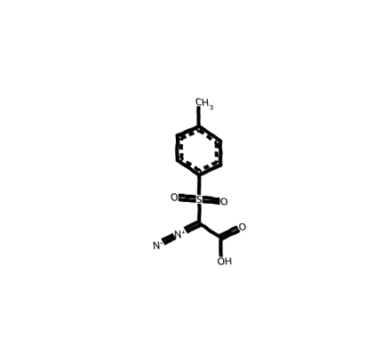 Cc1ccc(S(=O)(=O)C(=[N+]=[N-])C(=O)O)cc1